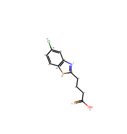 OC(=S)CCCc1nc2cc(Cl)ccc2s1